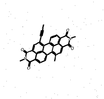 CC#Cc1cc2c3c(ccc4c5c(C)cc6c7c(ccc(c1c34)c75)C(=O)N(C)C6=O)C(=O)N(C)C2=O